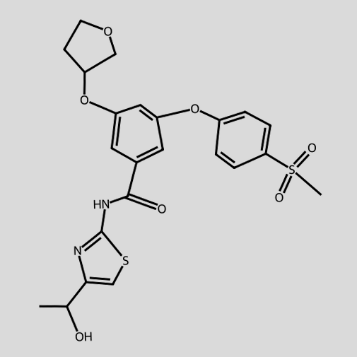 CC(O)c1csc(NC(=O)c2cc(Oc3ccc(S(C)(=O)=O)cc3)cc(OC3CCOC3)c2)n1